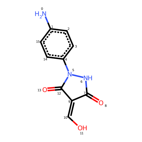 Nc1ccc(N2NC(=O)/C(=C\O)C2=O)cc1